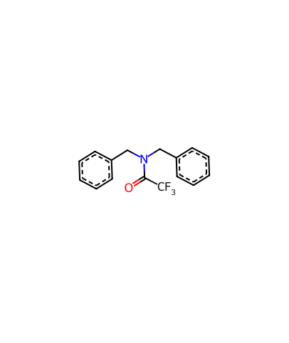 O=C(N(Cc1ccccc1)Cc1ccccc1)C(F)(F)F